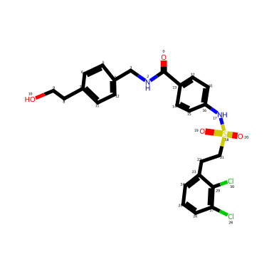 O=C(NCc1ccc(CCO)cc1)c1ccc(NS(=O)(=O)CCc2cccc(Cl)c2Cl)cc1